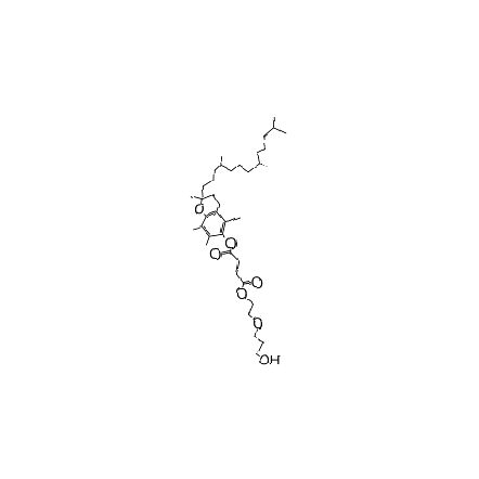 Cc1c(C)c2c(c(C)c1OC(=O)CCC(=O)OCCOCCCO)CCC(C)(CCCC(C)CCCC(C)CCCC(C)C)O2